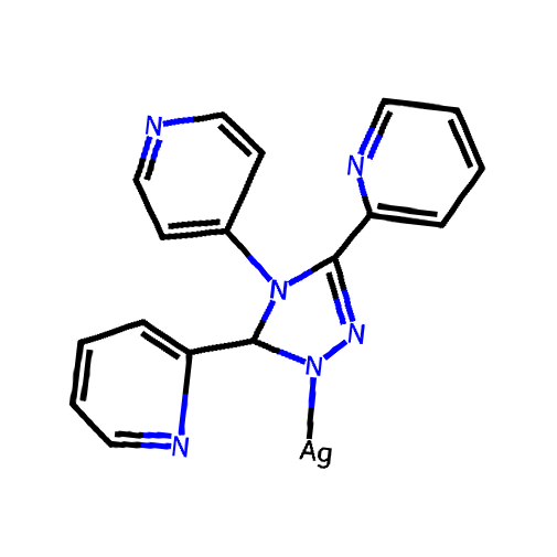 [Ag][N]1N=C(c2ccccn2)N(c2ccncc2)C1c1ccccn1